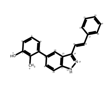 Cc1c(O)cccc1-c1ccc2[nH]nc(C=Cc3ccccc3)c2c1